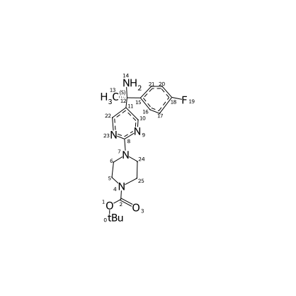 CC(C)(C)OC(=O)N1CCN(c2ncc([C@@](C)(N)c3ccc(F)cc3)cn2)CC1